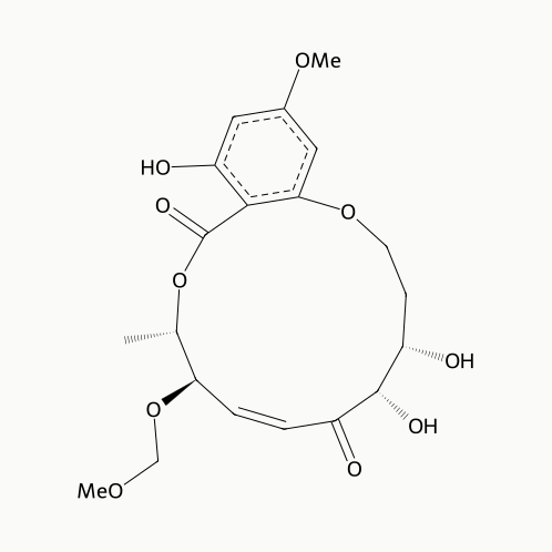 COCO[C@@H]1/C=C\C(=O)[C@@H](O)[C@@H](O)CCOc2cc(OC)cc(O)c2C(=O)O[C@H]1C